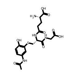 CC(=O)Nc1ccc(O)c(SC[C@H](NC(=O)CC[C@H](N)C(=O)O)C(=O)NCC(=O)O)c1